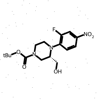 CC(C)(C)OC(=O)N1CCN(c2ccc([N+](=O)[O-])cc2F)[C@H](CO)C1